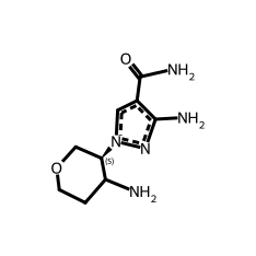 NC(=O)c1cn([C@@H]2COCCC2N)nc1N